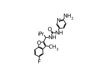 Cc1c(C(NC(=O)Nc2ccc(N)nc2)C(C)C)oc2ccc(F)cc12